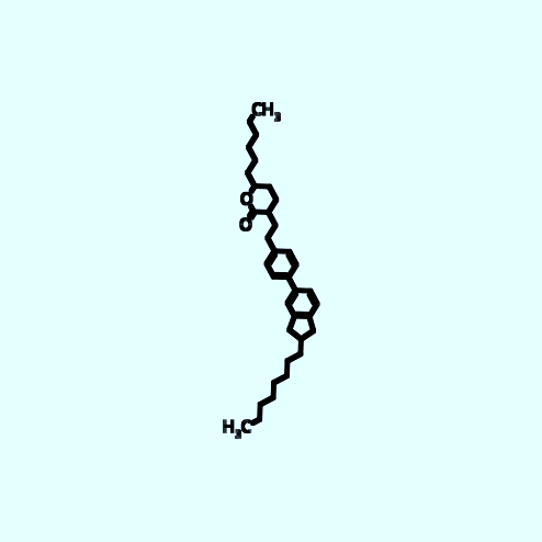 CCCCCCCCC1Cc2ccc(-c3ccc(CCC4CCC(CCCCCC)OC4=O)cc3)cc2C1